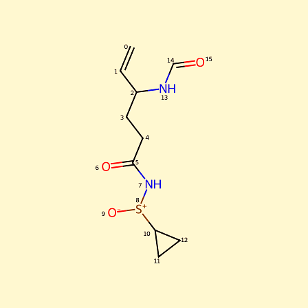 C=CC(CCC(=O)N[S+]([O-])C1CC1)NC=O